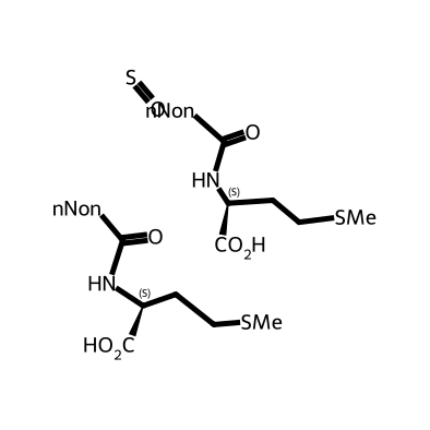 CCCCCCCCCC(=O)N[C@@H](CCSC)C(=O)O.CCCCCCCCCC(=O)N[C@@H](CCSC)C(=O)O.O=S